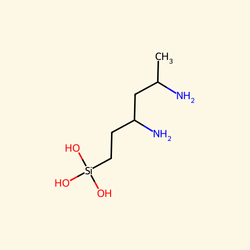 CC(N)CC(N)CC[Si](O)(O)O